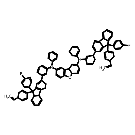 C=CC1C=CC(C2(c3ccc(F)cc3)c3ccccc3-c3ccc(C4C=C(N(C5=CC6c7cc(N(c8ccccc8)c8cccc(C9=CC%10=C(CC9)C9C=CC=CC9C%10(C9=CCC(C=C)C=C9)c9ccc(F)cc9)c8)ccc7OC6C=C5)C5=CC=CCC5)C=CC4)cc32)=CC1